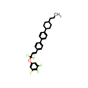 CCCC1CCC(c2ccc(-c3ccc(/C=C/C(F)(F)Oc4cc(F)c(F)c(F)c4)cc3)cc2)CC1